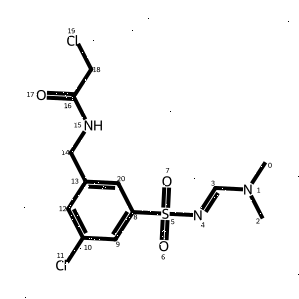 CN(C)C=NS(=O)(=O)c1cc(Cl)cc(CNC(=O)CCl)c1